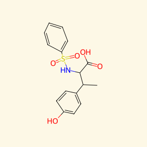 CC(c1ccc(O)cc1)C(NS(=O)(=O)c1ccccc1)C(=O)O